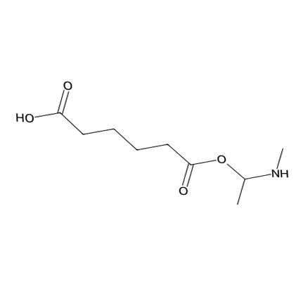 CNC(C)OC(=O)CCCCC(=O)O